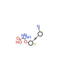 N#Cc1cccc(C#Cc2cc(Oc3[nH]nnc3C(=O)O)ccc2F)c1